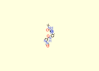 Cc1ccc(NC(=O)c2ccnc(N3CCOCC3)c2)cc1-n1cc(C(=O)NCC(C)(C)C)nn1